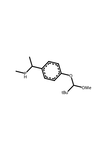 COC(Oc1ccc(C(C)PC)cc1)C(C)(C)C